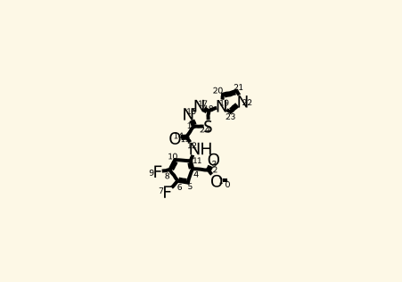 COC(=O)c1cc(F)c(F)cc1NC(=O)c1nnc(-n2ccnc2)s1